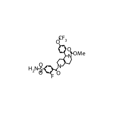 COC(=O)N1CCC2=C(CCN(C(=O)c3ccc(S(N)(=O)=O)cc3F)C2)C1c1ccc(OC(F)(F)F)cc1